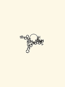 CC(C)(C)OC(=O)N[C@H]1CCCCCCC[C@H]2C[C@@]2(C(=O)NS(=O)(=O)C2CC2)NC(=O)[C@@H]2C[C@@H](OC(=O)N3Cc4ccccc4C3)CN2C1=O